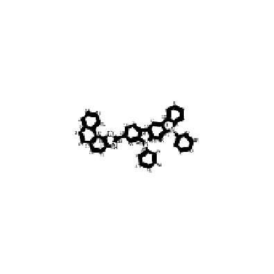 c1ccc(-n2c3ccccc3c3cc4c5ccc(-c6nc7ccc8ccc9ccccc9c8c7o6)cc5n(-c5ccccc5)c4cc32)cc1